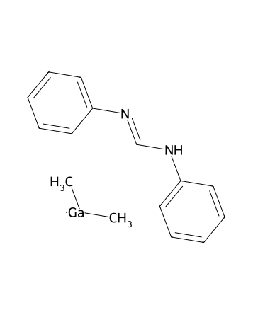 C(=Nc1ccccc1)Nc1ccccc1.[CH3][Ga][CH3]